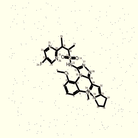 COc1cccc(OC)c1-n1c(NS(=O)(=O)C(C)C(C)c2ncc(F)cn2)nnc1-c1cc2n(n1)CCC2